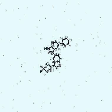 C[C@@H](NC(=O)c1cnn2ccc(-c3c[nH]c4ncc(-c5ccccc5)cc34)cc12)C(F)(F)F